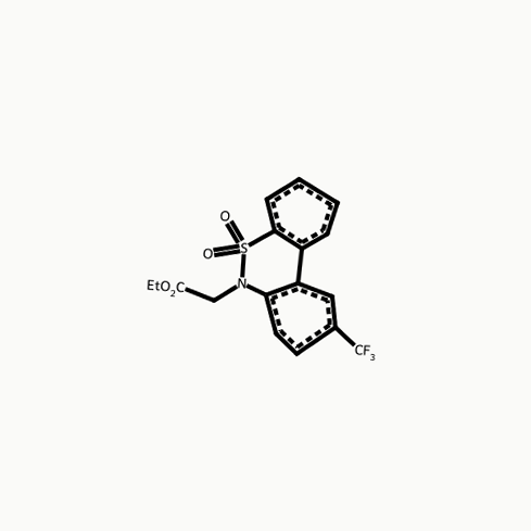 CCOC(=O)CN1c2ccc(C(F)(F)F)cc2-c2ccccc2S1(=O)=O